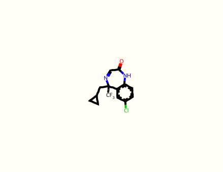 O=C1C=NC(CC2CC2)(C(F)(F)F)c2cc(Cl)ccc2N1